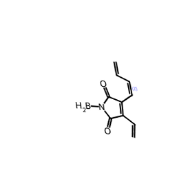 BN1C(=O)C(C=C)=C(/C=C\C=C)C1=O